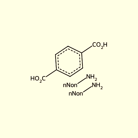 CCCCCCCCCN.CCCCCCCCCN.O=C(O)c1ccc(C(=O)O)cc1